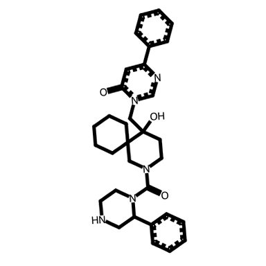 O=C(N1CCC(O)(Cn2cnc(-c3ccccc3)cc2=O)C2(CCCCC2)C1)N1CCNCC1c1ccccc1